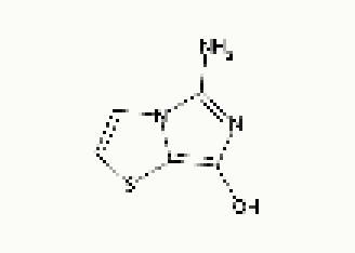 Nc1nc(O)c2sccn12